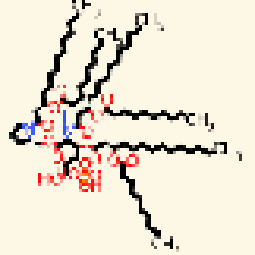 CCCCCCCCCCC[C@H](CC(=O)N[C@H]1C(OC(=O)C[C@@H](CCCCCCCCCCC)OC(=O)CCCCCCCCC)[C@H](OP(=O)(O)O)C(CO)O[C@H]1OC[C@@H]1CCCN1C(=O)C[C@@H](CCCCCCCCCCC)OC(=O)CCCCCCCCC)OC(=O)CCCCCCCCC